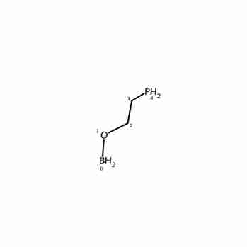 BOCCP